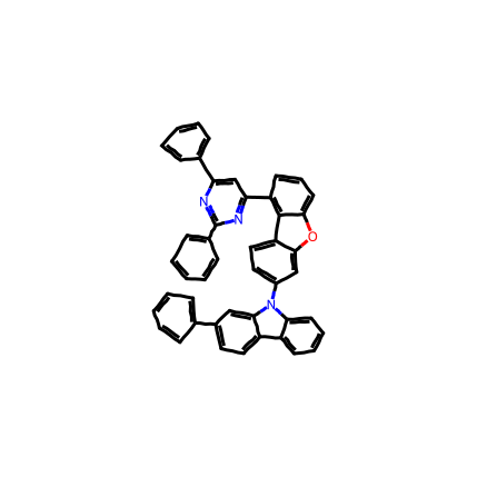 c1ccc(-c2ccc3c4ccccc4n(-c4ccc5c(c4)oc4cccc(-c6cc(-c7ccccc7)nc(-c7ccccc7)n6)c45)c3c2)cc1